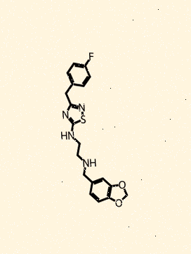 Fc1ccc(Cc2nsc(NCCNCc3ccc4c(c3)OCO4)n2)cc1